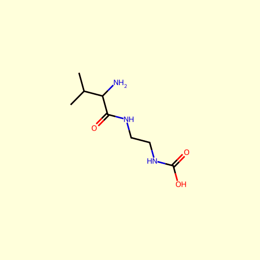 CC(C)C(N)C(=O)NCCNC(=O)O